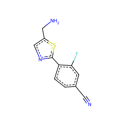 N#Cc1ccc(-c2ncc(CN)s2)c(F)c1